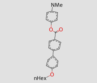 CCCCCCOc1ccc(-c2ccc(C(=O)Oc3ccc(NC)cc3)cc2)cc1